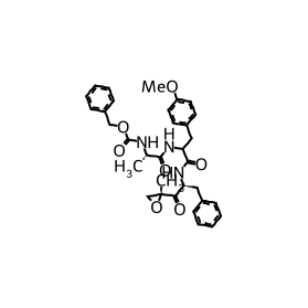 COc1ccc(CC(NC(=O)[C@H](C)NC(=O)OCc2ccccc2)C(=O)N[C@@H](Cc2ccccc2)C(=O)[C@@]2(C)CO2)cc1